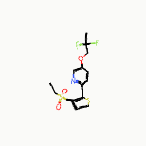 CCS(=O)(=O)c1ccsc1-c1ccc(OCC(C)(F)F)cn1